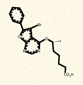 C[C@H](CCCCC(=O)O)Oc1ncnc2oc(-c3ccccc3)c(Br)c12